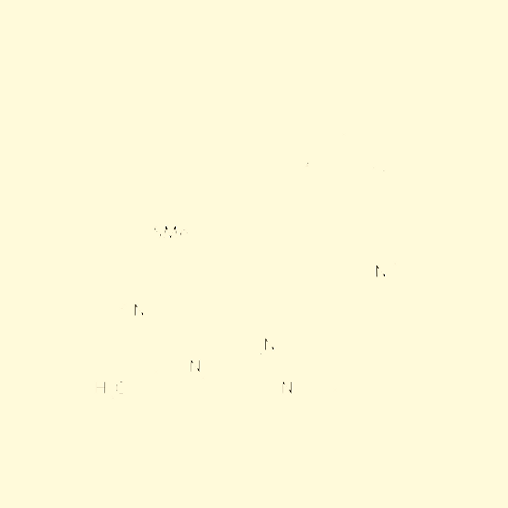 CSc1cc(-n2ncc3cnc(C4CCC4)cc32)nc(C)n1